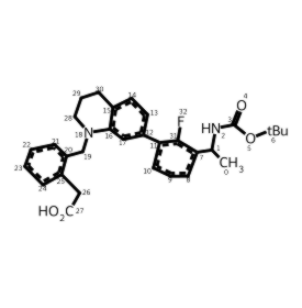 CC(NC(=O)OC(C)(C)C)c1cccc(-c2ccc3c(c2)N(Cc2ccccc2CC(=O)O)CCC3)c1F